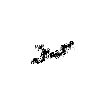 CN[C@H](C(=O)N[C@H](C(=O)N(C)[C@H](/C=C(\C)C(=O)NS(=O)(=O)c1ccc(NC(=O)[C@H](CCCNC(N)=O)NC(=O)[C@@H](NC(=O)CC(C)(C)COCC(C)(C)CN2C(=O)C=CC2=O)C(C)C)c(F)c1)C(C)C)C(C)(C)C)C(C)(C)c1ccccc1